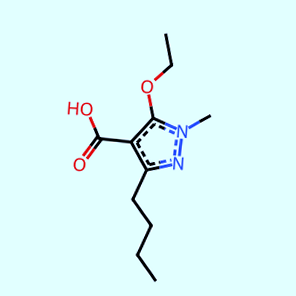 CCCCc1nn(C)c(OCC)c1C(=O)O